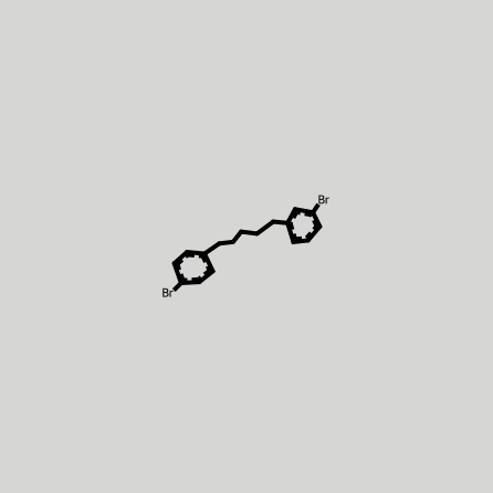 Brc1ccc(CCCCCc2cccc(Br)c2)cc1